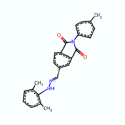 Cc1ccc(N2C(=O)c3ccc(/C=N/Nc4c(C)cccc4C)cc3C2=O)cc1